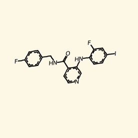 O=C(NCc1ccc(F)cc1)c1ccncc1Nc1ccc(I)cc1F